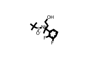 CC(CCO)(N[S@+]([O-])C(C)(C)C)c1cccc(F)c1F